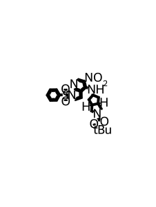 CC(C)(C)OC(=O)N1C[C@H]2CC(Nc3c([N+](=O)[O-])cnc4c3ccn4S(=O)(=O)c3ccccc3)C[C@H]2C1